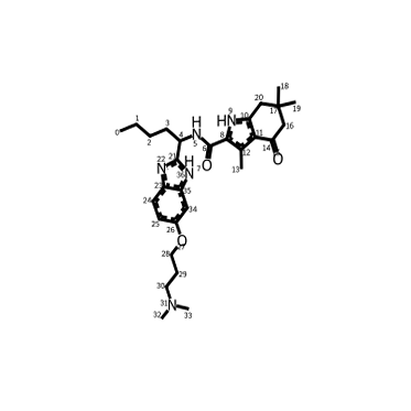 CCCCC(NC(=O)c1[nH]c2c(c1C)C(=O)CC(C)(C)C2)c1nc2ccc(OCCCN(C)C)cc2[nH]1